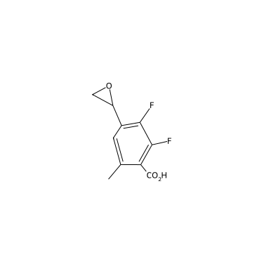 Cc1cc(C2CO2)c(F)c(F)c1C(=O)O